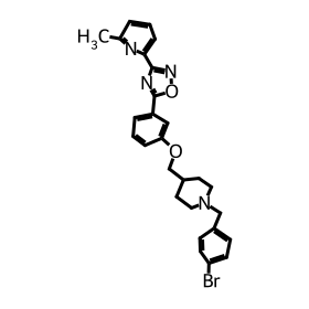 Cc1cccc(-c2noc(-c3cccc(OCC4CCN(Cc5ccc(Br)cc5)CC4)c3)n2)n1